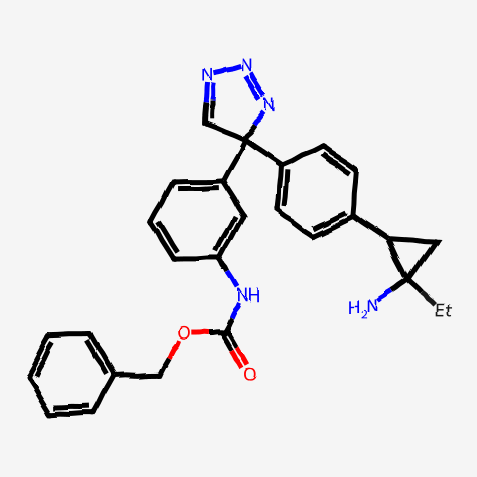 CCC1(N)CC1c1ccc(C2(c3cccc(NC(=O)OCc4ccccc4)c3)C=NN=N2)cc1